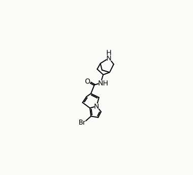 O=C(NC1CC2CC1CN2)c1ccc2c(Br)ccn2c1